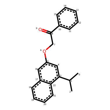 CC(C)c1cc(OCC(=O)c2ccccc2)cc2ccccc12